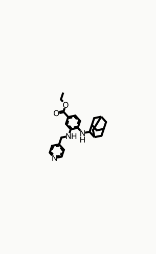 CCOC(=O)c1ccc(NC2C3CC4CC(C3)CC2C4)c(NCc2ccncc2)c1